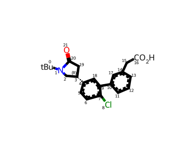 CC(C)(C)N1C[C@@H](c2ccc(Cl)c(-c3cccc(CC(=O)O)c3)c2)CC1=O